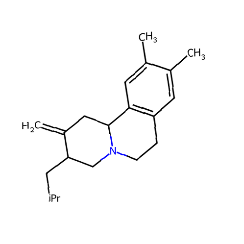 C=C1CC2c3cc(C)c(C)cc3CCN2CC1CC(C)C